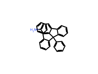 Nc1ccc2c(c1)C(c1ccccc1)(c1ccccc1-c1ccccc1)c1ccccc1-2